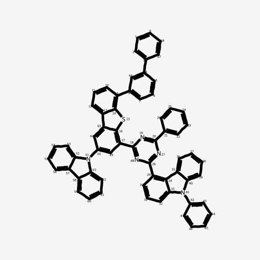 c1ccc(-c2cccc(-c3cccc4c3sc3c(-c5nc(-c6ccccc6)nc(-c6cccc7c6c6ccccc6n7-c6ccccc6)n5)cc(-n5c6ccccc6c6ccccc65)cc34)c2)cc1